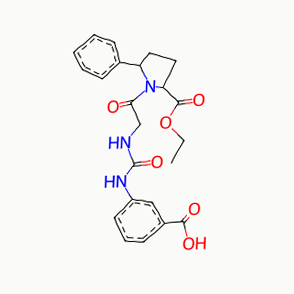 CCOC(=O)C1CCC(c2ccccc2)N1C(=O)CNC(=O)Nc1cccc(C(=O)O)c1